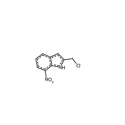 O=[N+]([O-])c1cccc2cc([CH]Cl)[nH]c12